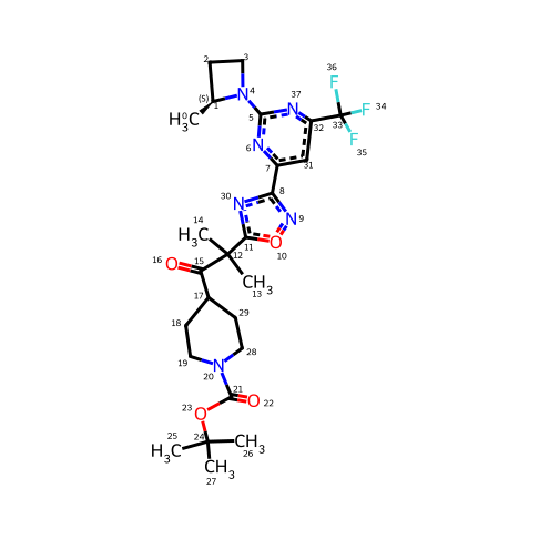 C[C@H]1CCN1c1nc(-c2noc(C(C)(C)C(=O)C3CCN(C(=O)OC(C)(C)C)CC3)n2)cc(C(F)(F)F)n1